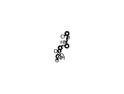 O=C1CCC(N2Cc3cc(C[C@H]4CCCC[C@@H]4NCCOc4ccccc4Cl)ccc3C2=O)C(=O)N1